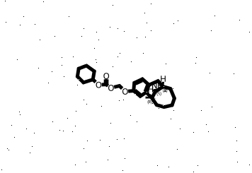 C[C@@]12CCCCC[C@@H](Cc3ccc(OCOC(=O)OC4CCCCC4)cc31)[C@@H]2N